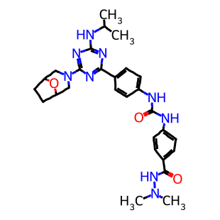 CC(C)Nc1nc(-c2ccc(NC(=O)Nc3ccc(C(=O)NN(C)C)cc3)cc2)nc(N2CC3CCC(C2)O3)n1